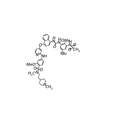 COc1cc(Nc2cc(Oc3ccc(NC(=O)Nc4cc(C(C)(C)C)cc(NS(C)(=O)=O)c4OC)c4ccccc34)ccn2)ccc1S(=O)(=O)N(C)CCC1CCN(C)CC1